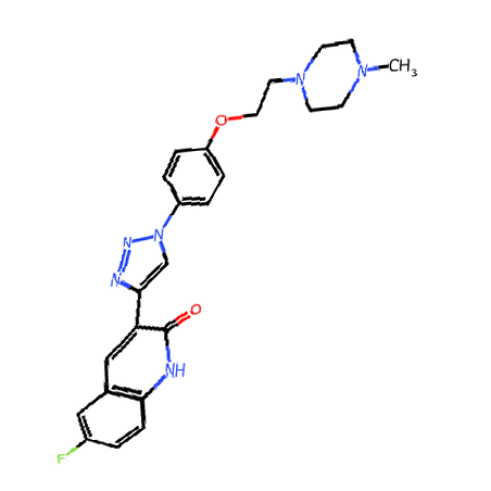 CN1CCN(CCOc2ccc(-n3cc(-c4cc5cc(F)ccc5[nH]c4=O)nn3)cc2)CC1